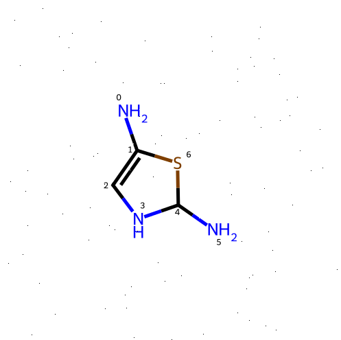 NC1=CNC(N)S1